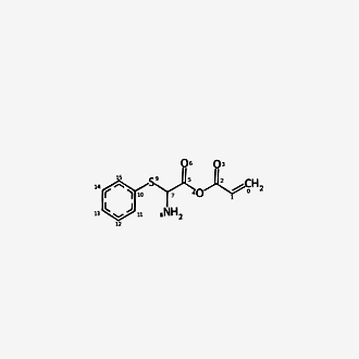 C=CC(=O)OC(=O)C(N)Sc1ccccc1